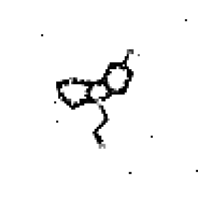 Bc1ccc2c(c1)c1ncccc1n2CC=N